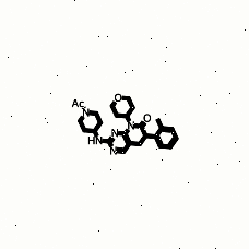 CC(=O)N1CCC(Nc2ncc3c(n2)N(C2CCOCC2)C(=O)C(c2ccccc2C)C3)CC1